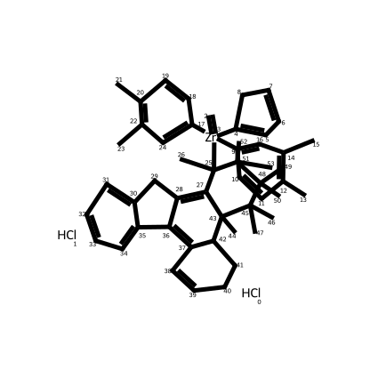 Cl.Cl.[CH2]=[Zr]([C]1=CC=CC1)([c]1ccc(C)c(C)c1)([c]1ccc(C)c(C)c1)[C]1(C)C2=C3Cc4ccccc4C3=C3C=CCCC3C2(C)C(C)(C)C(C)(C)C1(C)C